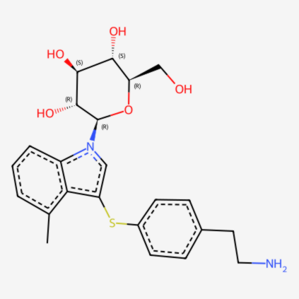 Cc1cccc2c1c(Sc1ccc(CCN)cc1)cn2[C@@H]1O[C@H](CO)[C@@H](O)[C@H](O)[C@H]1O